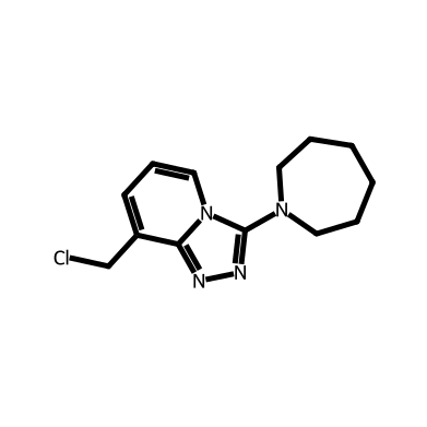 ClCc1cccn2c(N3CCCCCC3)nnc12